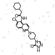 O=C(CC1CCCCC1)Nc1c(Cl)ccc2nc(N3CCC(n4cn[nH]c4=O)CC3)ccc12